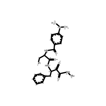 CC(C)CC(NC(=O)c1ccc(N(C)C)cc1)C(=O)NC(Cc1ccccc1)C(=O)C(=O)NC(C)(C)C